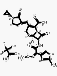 CO/N=C(\C(=O)N[C@@H]1C(=O)N2C(C(=O)O)=C(/C=C3\CCN(C4CC4)C3=O)CS[C@H]12)c1csc(N)n1.O=C(O)C(F)(F)F